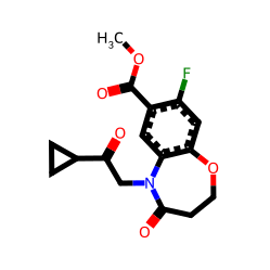 COC(=O)c1cc2c(cc1F)OCCC(=O)N2CC(=O)C1CC1